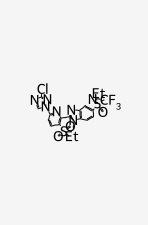 CCN=S(=O)(c1ccc2c(c1)nc(-c1nc(-n3cnc(Cl)n3)ccc1S(=O)(=O)CC)n2C)C(F)(F)F